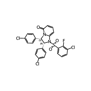 O=c1cccc2n1[C@@H](c1ccc(Cl)cc1)[C@@H](c1ccc(Cl)cc1)N2S(=O)(=O)c1cccc(Cl)c1F